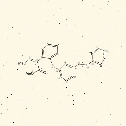 COC=C(C(=O)OC)c1ccccc1Oc1cccc(COc2ccccn2)c1